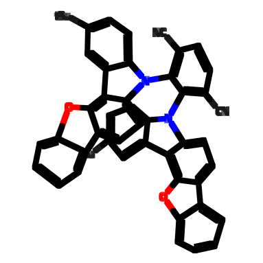 CC(C)(C)c1ccc2c(c1)c1c3oc4ccccc4c3ccc1n2-c1c(C#N)ccc(C#N)c1-n1c2ccc(C(C)(C)C)cc2c2c3oc4ccccc4c3ccc21